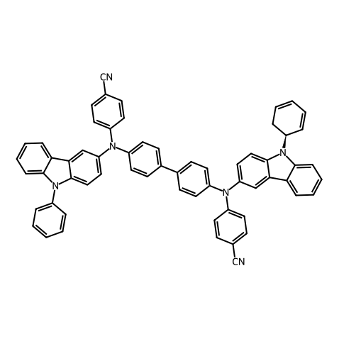 N#Cc1ccc(N(c2ccc(-c3ccc(N(c4ccc(C#N)cc4)c4ccc5c(c4)c4ccccc4n5[C@@H]4C=CC=CC4)cc3)cc2)c2ccc3c(c2)c2ccccc2n3-c2ccccc2)cc1